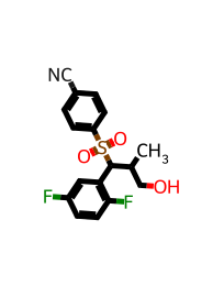 CC(CO)C(c1cc(F)ccc1F)S(=O)(=O)c1ccc(C#N)cc1